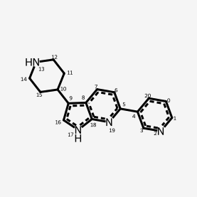 c1cncc(-c2ccc3c(C4CCNCC4)c[nH]c3n2)c1